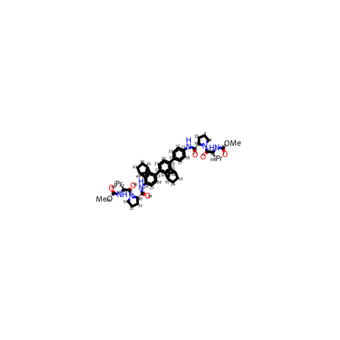 COC(=O)N[C@H](C(=O)N1CCC[C@H]1C(=O)Nc1ccc(-c2ccc(-c3ccc(NC(=O)[C@@H]4CCCN4C(=O)[C@@H](NC(=O)OC)C(C)C)c4c3C3CCC4C3)c3c2C2CCC3C2)cc1)C(C)C